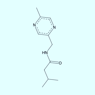 Cc1cnc(CNC(=O)CC(C)C)cn1